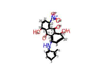 Cc1ccccc1Nc1ccc(O)c2c1C(=O)c1c(O)ccc([N+](=O)[O-])c1C2=O